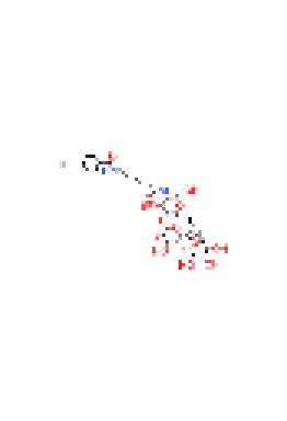 Cc1ccc(C(=O)NCCCCCC(=O)NC2C(O)C(O[C@@H]3O[C@H](C)C(O[C@@H]4OC[C@@H](O)C(O)C4O)C(O)C3O)[C@H](C)O[C@@H]2CO)cc1